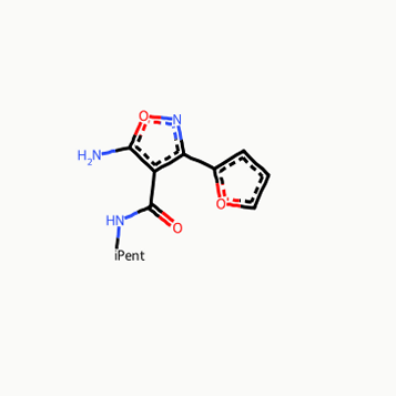 CCCC(C)NC(=O)c1c(-c2ccco2)noc1N